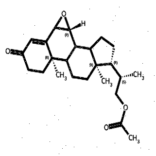 CC(=O)OC[C@@H](C)[C@H]1CCC2C3C(CC[C@@]21C)[C@@]1(C)CCC(=O)C=C1C1O[C@@H]13